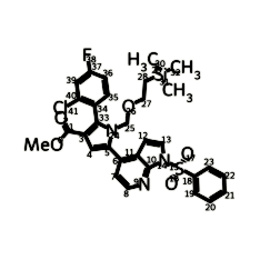 COC(=O)c1cc(-c2ccnc3c2ccn3S(=O)(=O)c2ccccc2)n(COCC[Si](C)(C)C)c1-c1ccc(F)cc1Cl